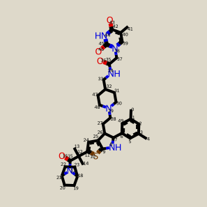 Cc1cc(C)cc(C2Nc3sc(C(C)(C)C(=O)N4C5CCC4CC5)cc3C2CCN2CCC(CNC(=O)Cn3cc(C)c(=O)[nH]c3=O)CC2)c1